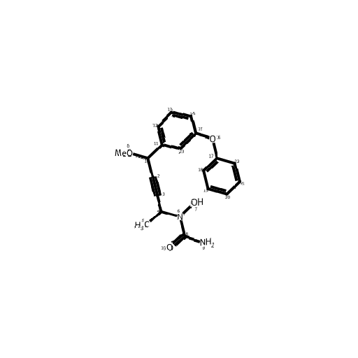 COC(C#CC(C)N(O)C(N)=O)c1cccc(Oc2ccccc2)c1